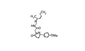 C=C/C=C\C(C)=N/CNC(=O)Cn1nc(-c2ccc(OC)cc2)ccc1=O